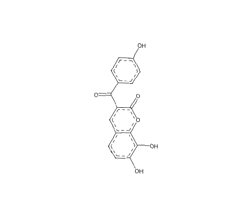 O=C(c1ccc(O)cc1)c1cc2ccc(O)c(O)c2oc1=O